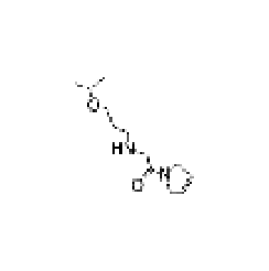 CC(C)OCCCNCC(=O)N1CC=CC1